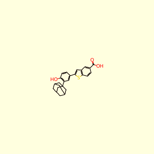 O=C(O)c1ccc2sc(-c3ccc(O)c(C45CC6CC(CC(C6)C4)C5)c3)cc2c1